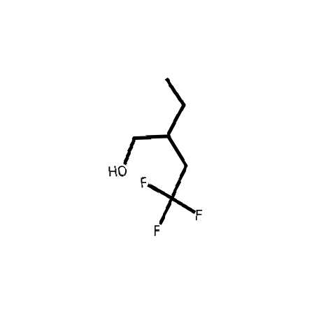 CCC(CO)CC(F)(F)F